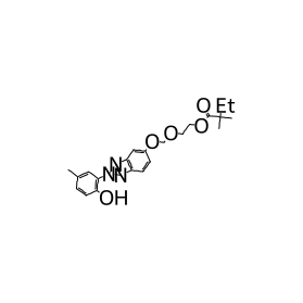 CCC(C)(C)C(=O)OCCOCOc1ccc2c(c1)n1n(-c3cc(C)ccc3O)n21